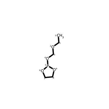 CCOCOP1OCCO1